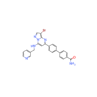 NC(=O)c1ccc(-c2ccc(-c3cc(NCc4cccnc4)n4ncc(Br)c4n3)cc2)cc1